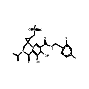 CC(C)N1CC2(CC2CS(C)(=O)=O)N2C=C(C(=O)NCc3ccc(F)cc3F)C(O)C(O)=C2C1=O